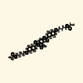 C=CC(=O)OCCCCCOc1ccc2cc(C(=O)Oc3ccc(OC(=O)c4ccc5cc(OCCCCCOC(=O)C=C)ccc5c4)c(C(C)=O)c3)ccc2c1